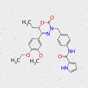 CCOc1ccc(C2=NN(Cc3ccc(NC(=O)c4ccc[nH]4)cc3)C(=O)OC2CC)cc1OC